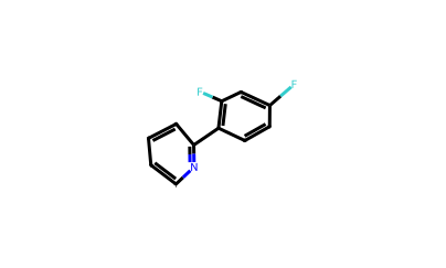 Fc1ccc(-c2ccc[c]n2)c(F)c1